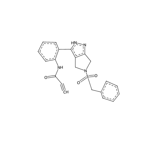 C#CC(=O)Nc1ccccc1-c1[nH]nc2c1CN(S(=O)(=O)Cc1ccccc1)C2